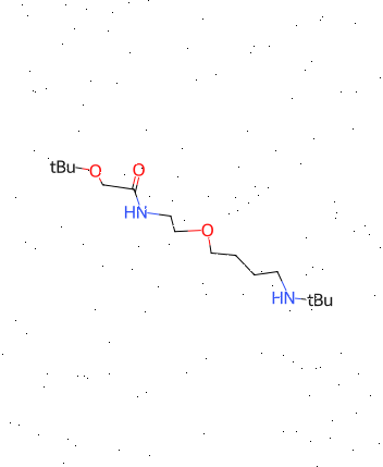 CC(C)(C)NCCCCOCCNC(=O)COC(C)(C)C